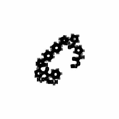 CN(C(=O)O)[C@@H](C(=O)N1CCC[C@H]1c1ncc(-c2ccc(-c3ccc(-c4cnc([C@@H]5CCCN5C(=O)[C@@H]5CC[C@H](NC(=O)OC(C)(C)C)C5)[nH]4)cc3)cc2)[nH]1)c1ccccc1